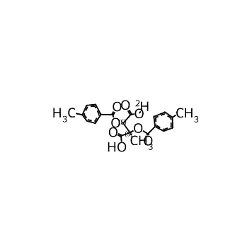 [2H]OC(=O)[C@@H](OC(=O)c1ccc(C)cc1)[C@](C)(OC(=O)c1ccc(C)cc1)C(=O)O